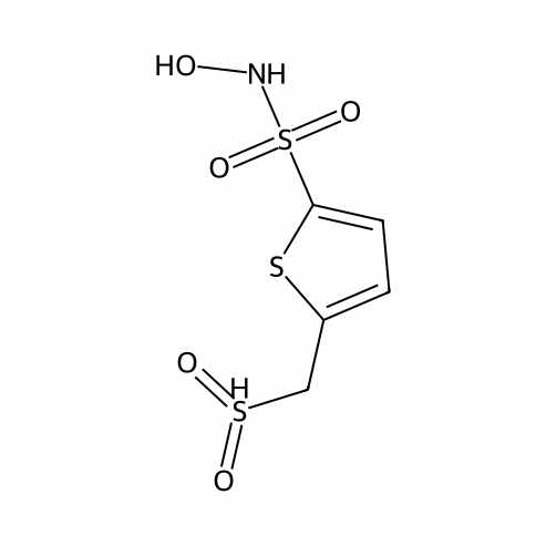 O=[SH](=O)Cc1ccc(S(=O)(=O)NO)s1